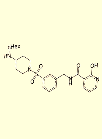 CCCCCCNC1CCN(S(=O)(=O)c2cccc(CNC(=O)c3cccnc3O)c2)CC1